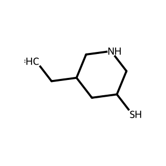 [CH]CC1CNCC(S)C1